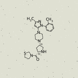 Cc1cc(N2CCN([C@@H]3CN[C@H](C(=O)N4CCSC4)C3)CC2)n(-c2ccccc2C)n1